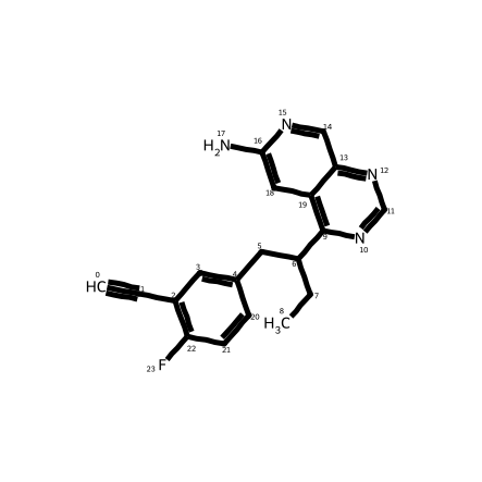 C#Cc1cc(CC(CC)c2ncnc3cnc(N)cc23)ccc1F